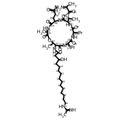 CC(=N)NCCCCCCCCCCCCC(O)CC(=O)NC1C(=O)NC(C(C)C)C(=O)NC(C(C)C)C(=O)NC(C(C)OC(=O)C(C)N)C(=O)NC(CCC(N)=O)C(=O)NC(C)C(=O)OC1C